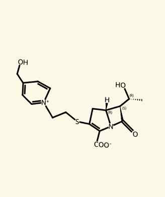 C[C@@H](O)[C@H]1C(=O)N2C(C(=O)[O-])=C(SCC[n+]3ccc(CO)cc3)C[C@H]12